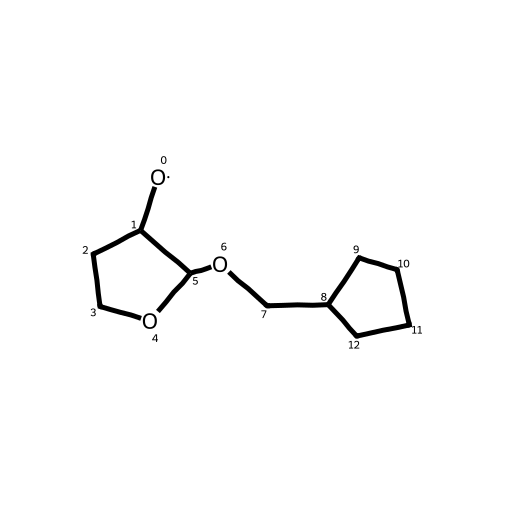 [O]C1CCOC1OCC1CCCC1